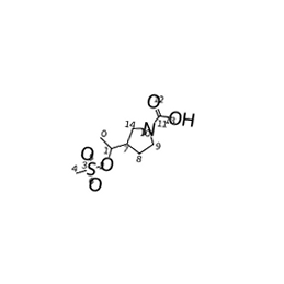 CC(OS(C)(=O)=O)C1CCN(C(=O)O)C1